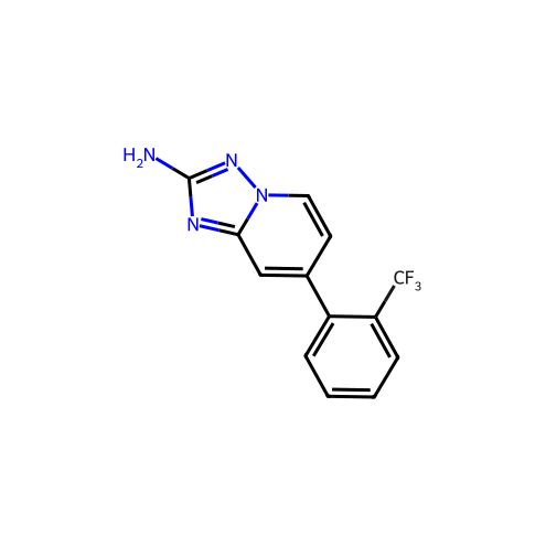 Nc1nc2cc(-c3ccccc3C(F)(F)F)ccn2n1